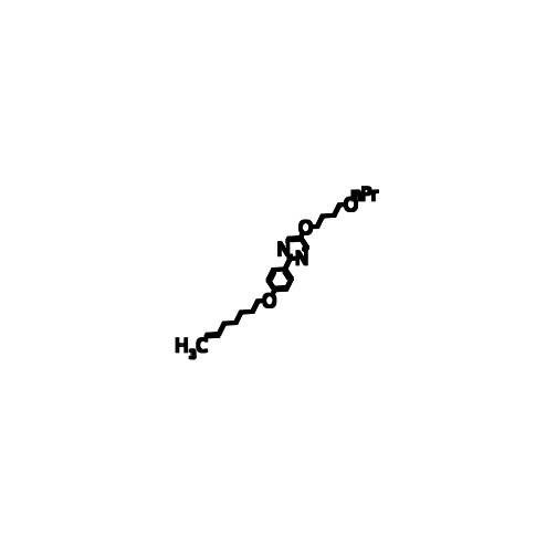 C/C=C/CCCCCOc1ccc(-c2ncc(OCCCCOCCC)cn2)cc1